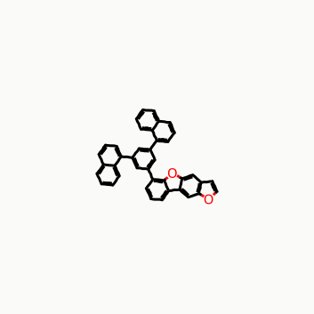 c1ccc2c(-c3cc(-c4cccc5ccccc45)cc(-c4cccc5c4oc4cc6ccoc6cc45)c3)cccc2c1